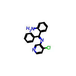 Nc1ccccc1C(=Nc1cnccc1Cl)c1ccccc1